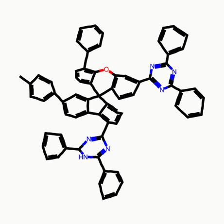 Cc1ccc(-c2ccc3c(c2)C2(c4ccc(-c5nc(-c6ccccc6)nc(-c6ccccc6)n5)cc4Oc4c(-c5ccccc5)cccc42)c2cccc(C4=NC(c5ccccc5)NC(c5ccccc5)=N4)c2-3)cc1